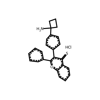 Cl.NC1(c2ccc(-c3c(-c4ccccc4)oc4ccccc4c3=S)cc2)CCC1